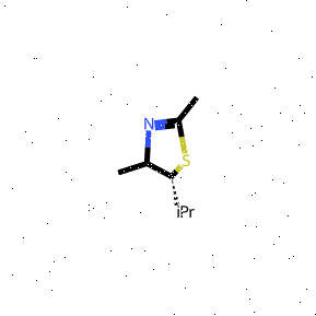 CC1=NC(C)[C@@H](C(C)C)S1